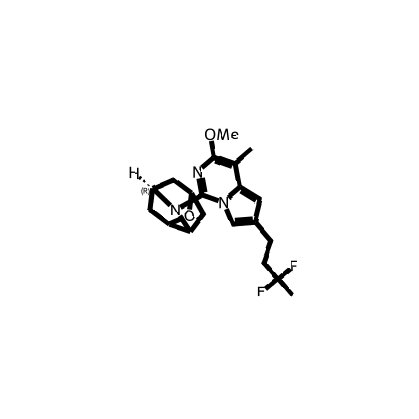 COc1nc(N2C3CC4C[C@@H]2CC3O4)n2cc(CCC(C)(F)F)cc2c1C